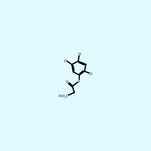 CCOC(=O)CC(=O)Sc1cc(Cl)c(Cl)cc1Cl